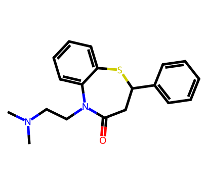 CN(C)CCN1C(=O)CC(c2ccccc2)Sc2ccccc21